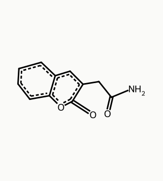 NC(=O)Cc1cc2ccccc2oc1=O